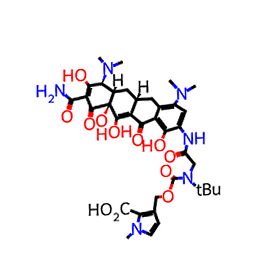 CN(C)c1cc(NC(=O)CN(C(=O)OCc2ccn(C)c2C(=O)O)C(C)(C)C)c(O)c2c1C[C@H]1C[C@H]3[C@H](N(C)C)C(O)=C(C(N)=O)C(=O)[C@@]3(O)C(O)=C1C2=O